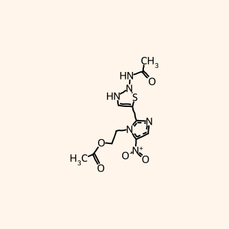 CC(=O)NN1NC=C(c2ncc([N+](=O)[O-])n2CCOC(C)=O)S1